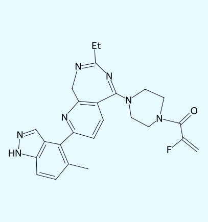 C=C(F)C(=O)N1CCN(C2=NC(CC)=NCc3nc(-c4c(C)ccc5[nH]ncc45)ccc32)CC1